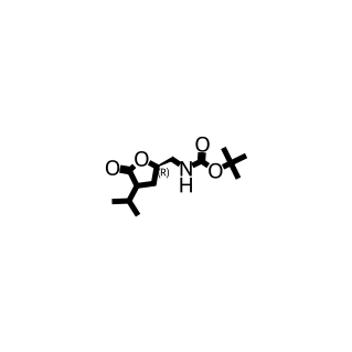 CC(C)C1C[C@H](CNC(=O)OC(C)(C)C)OC1=O